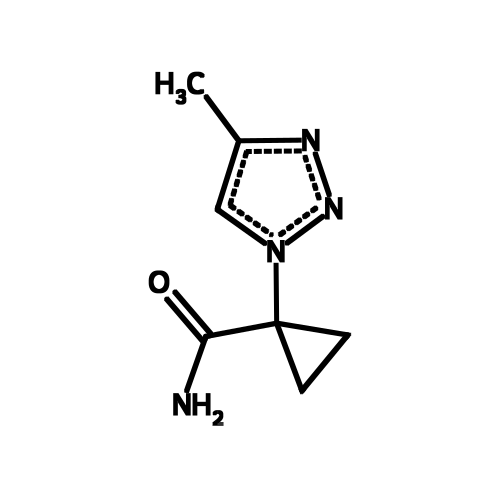 Cc1cn(C2(C(N)=O)CC2)nn1